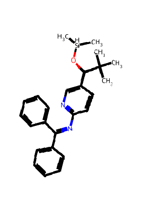 C[SiH](C)OC(c1ccc(N=C(c2ccccc2)c2ccccc2)nc1)C(C)(C)C